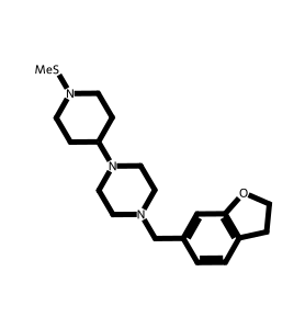 CSN1CCC(N2CCN(Cc3ccc4c(c3)OCC4)CC2)CC1